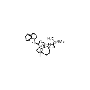 CN[C@@H](C)C(=O)N[C@H]1CCCC[C@H]2CC[C@@H](C(=O)NC3CCCc4ccccc43)N2C1=O